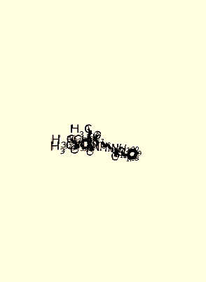 CCCN1C(=O)[C@H](CCCCNC(=O)OCc2ccccc2)NC(=O)C12CCN(C(=O)C(C)(C)C)CC2